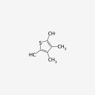 [CH]c1sc([CH])c(C)c1C